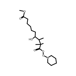 COC(=O)CCCCCC(O)C(C)C(C)(C)C(=O)OON1CCCCC1